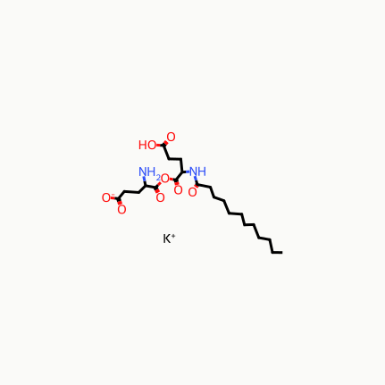 CCCCCCCCCCCC(=O)NC(CCC(=O)O)C(=O)OC(=O)C(N)CCC(=O)[O-].[K+]